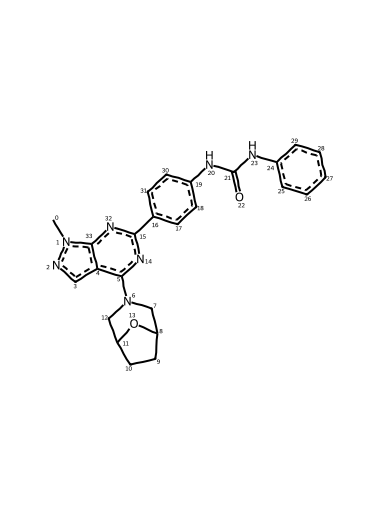 Cn1ncc2c(N3CC4CCC(C3)O4)nc(-c3ccc(NC(=O)Nc4ccccc4)cc3)nc21